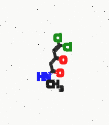 CNC(=O)CC(=O)C=C(Cl)Cl